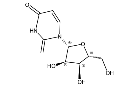 C=C1NC(=O)C=CN1[C@@H]1O[C@H](CO)[C@@H](O)[C@H]1O